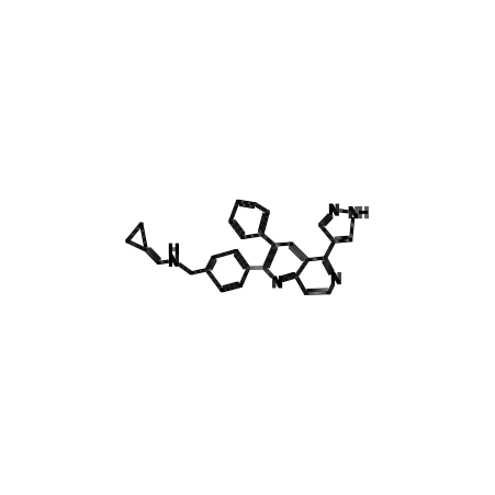 C(NCc1ccc(-c2nc3ccnc(-c4cn[nH]c4)c3cc2-c2ccccc2)cc1)=C1CC1